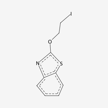 ICCOc1nc2ccccc2s1